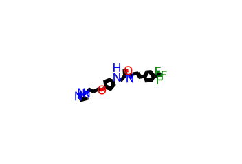 FC(F)(F)c1ccc(C=Cc2nc(CNc3ccc(OCCCn4ccnn4)cc3)co2)cc1